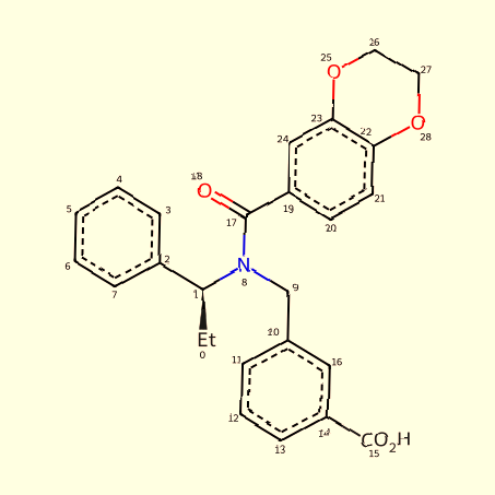 CC[C@@H](c1ccccc1)N(Cc1cccc(C(=O)O)c1)C(=O)c1ccc2c(c1)OCCO2